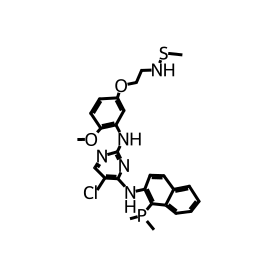 COc1ccc(OCCNSC)cc1Nc1ncc(Cl)c(Nc2ccc3ccccc3c2P(C)C)n1